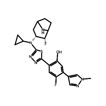 Cn1cc(-c2cc(O)c(-c3nnc(N(C4CC4)[C@@H]4CC5CCC(N5)[C@@H]4F)s3)cc2F)cn1